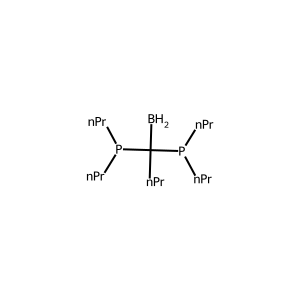 BC(CCC)(P(CCC)CCC)P(CCC)CCC